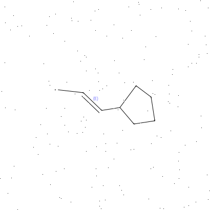 [CH2]/C=C/C1CCCC1